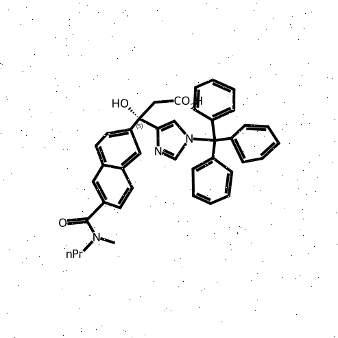 CCCN(C)C(=O)c1ccc2cc([C@@](O)(CC(=O)O)c3cn(C(c4ccccc4)(c4ccccc4)c4ccccc4)cn3)ccc2c1